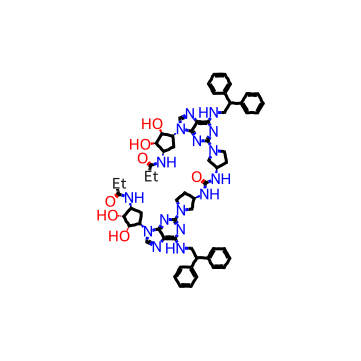 CCC(=O)N[C@H]1C[C@@H](n2cnc3c(NCC(c4ccccc4)c4ccccc4)nc(N4CC[C@@H](NC(=O)N[C@@H]5CCN(c6nc(NCC(c7ccccc7)c7ccccc7)c7ncn([C@@H]8C[C@H](NC(=O)CC)[C@@H](O)[C@H]8O)c7n6)C5)C4)nc32)[C@H](O)[C@@H]1O